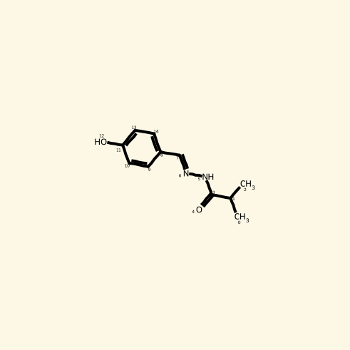 CC(C)C(=O)NN=Cc1ccc(O)cc1